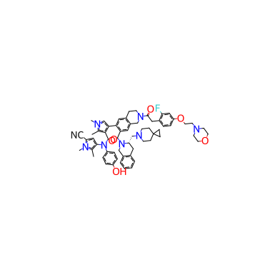 Cc1c(C(=O)N(c2ccc(O)cc2)c2cc(C#N)n(C)c2C)c(-c2cc3c(cc2C(=O)N2Cc4ccccc4C[C@H]2CN2CCC4(CC2)CC4)CN(C(=O)Cc2ccc(OCCN4CCOCC4)cc2F)CC3)cn1C